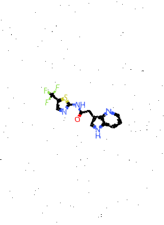 O=C(Cc1c[nH]c2cccnc12)Nc1ncc(C(F)(F)F)s1